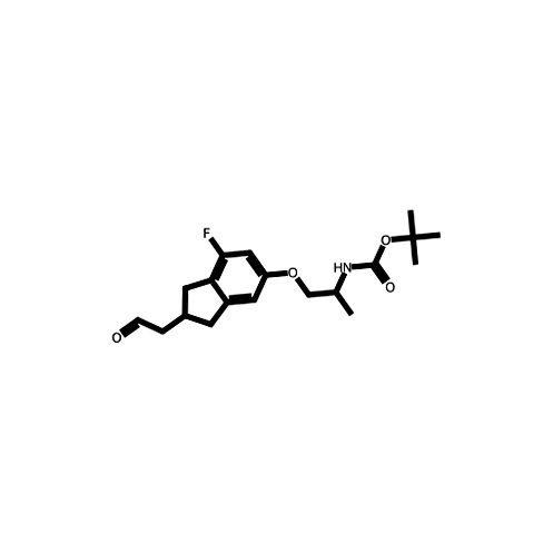 CC(COc1cc(F)c2c(c1)CC(CC=O)C2)NC(=O)OC(C)(C)C